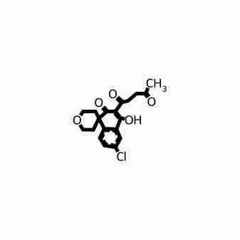 CC(=O)CCC(=O)C1=C(O)c2cc(Cl)ccc2C2(CCOCC2)C1=O